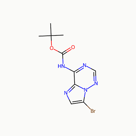 CC(C)(C)OC(=O)Nc1ncnn2c(Br)cnc12